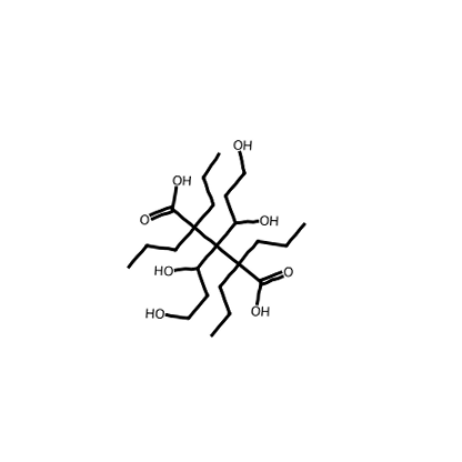 CCCC(CCC)(C(=O)O)C(C(O)CCO)(C(O)CCO)C(CCC)(CCC)C(=O)O